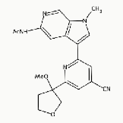 COC1(c2cc(C#N)cc(-c3cn(C)c4cnc(NC(C)=O)cc34)n2)CCOC1